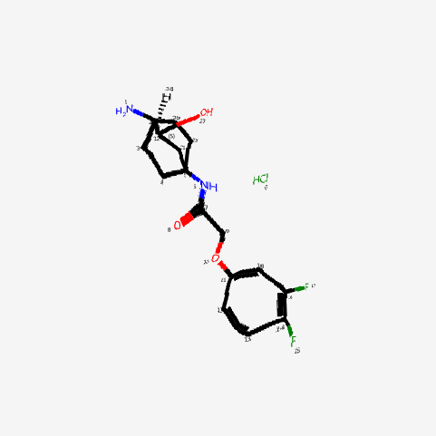 Cl.NC12CCC(NC(=O)COc3ccc(F)c(F)c3)(CC1)C[C@@H]2O